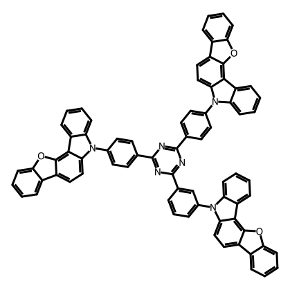 c1cc(-c2nc(-c3ccc(-n4c5ccccc5c5c6oc7ccccc7c6ccc54)cc3)nc(-c3ccc(-n4c5ccccc5c5c6oc7ccccc7c6ccc54)cc3)n2)cc(-n2c3ccccc3c3c4oc5ccccc5c4ccc32)c1